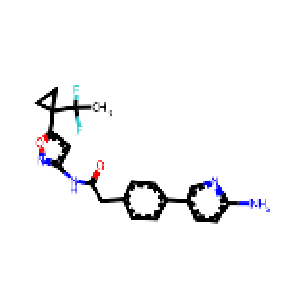 CC(F)(F)C1(c2cc(NC(=O)Cc3ccc(-c4ccc(N)nc4)cc3)no2)CC1